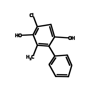 Cc1c(O)c(Cl)cc(O)c1-c1ccccc1